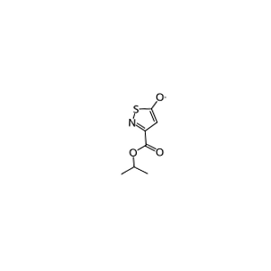 CC(C)OC(=O)c1cc([O])sn1